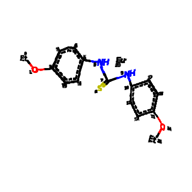 CCOc1ccc(NC(=S)Nc2ccc(OCC)cc2)cc1.[Eu]